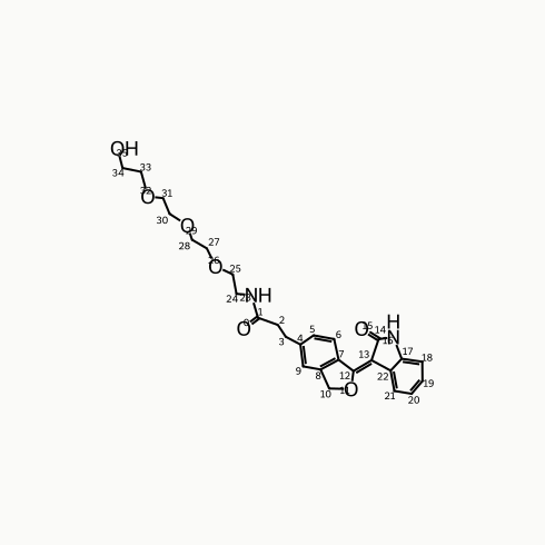 O=C(CCc1ccc2c(c1)CO/C2=C1/C(=O)Nc2ccccc21)NCCOCCOCCOCCO